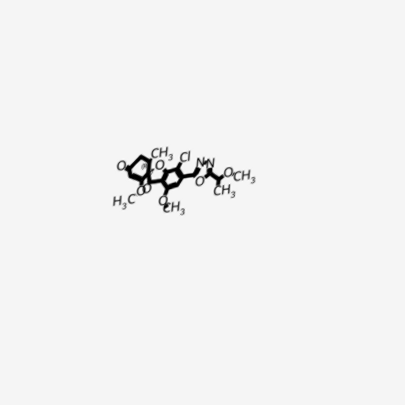 COC1=CC(=O)C[C@@H](C)[C@]12Oc1c(Cl)c(-c3nnc(C(C)OC)o3)cc(OC)c1C2=O